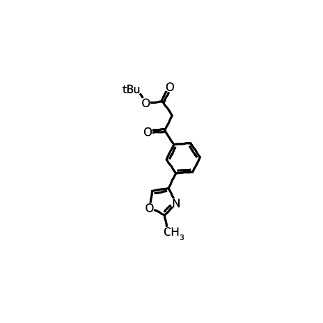 Cc1nc(-c2cccc(C(=O)CC(=O)OC(C)(C)C)c2)co1